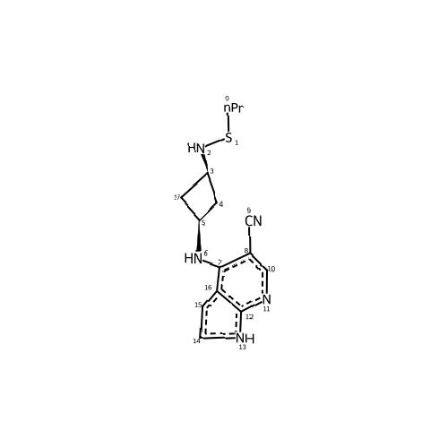 CCCSN[C@H]1C[C@@H](Nc2c(C#N)cnc3[nH]ccc23)C1